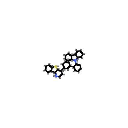 c1cc(-c2ccccc2-n2c3ccccc3c3ccccc32)cc(-c2ccnc3c2sc2ccccc23)c1